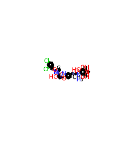 CC/C(=N\OCc1ccc(Cl)cc1Cl)[C@H]1O[C@@H](Oc2ccc(/C=C(\C)C(=O)N[C@@H]3[C@H](O)[C@@H](O)[C@H]4OCO[C@H]4[C@@H]3O)cc2N)C[C@@H]1O